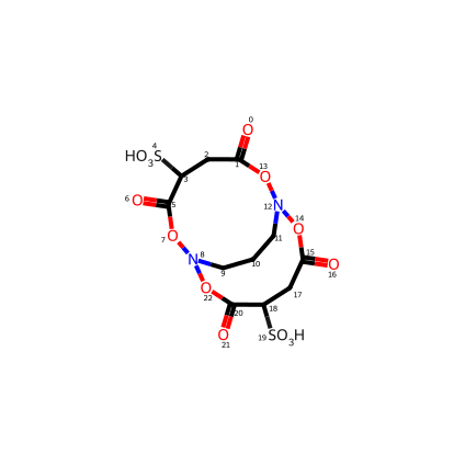 O=C1CC(S(=O)(=O)O)C(=O)ON2CCCN(O1)OC(=O)CC(S(=O)(=O)O)C(=O)O2